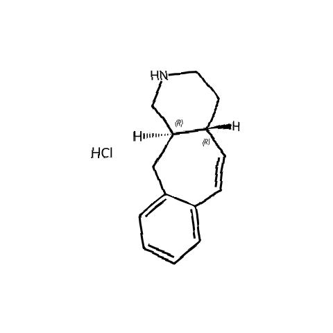 C1=C[C@H]2CCNC[C@@H]2Cc2ccccc21.Cl